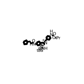 CC(C)OC(=O)Nc1ccc(-c2ncc(-c3ccc(NC(=O)CCc4ccccc4)cc3S(=O)(=O)NC(C)(C)C)s2)cc1